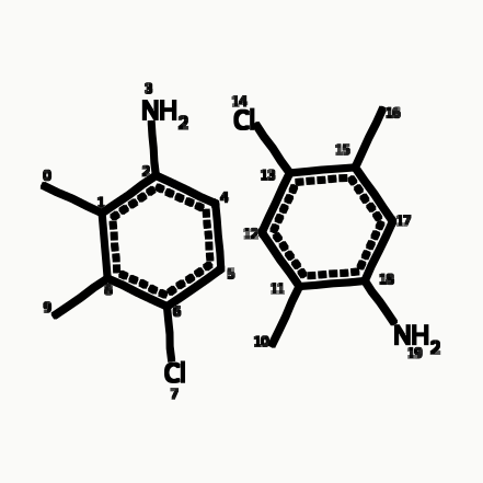 Cc1c(N)ccc(Cl)c1C.Cc1cc(Cl)c(C)cc1N